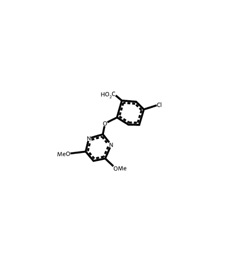 COc1cc(OC)nc(Oc2ccc(Cl)cc2C(=O)O)n1